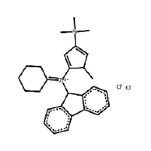 CC1C=C([Si](C)(C)C)C=[C]1[Zr+2](=[C]1CCCCC1)[CH]1c2ccccc2-c2ccccc21.[Cl-].[Cl-]